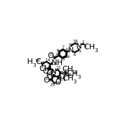 CCN1CCN(c2ccc(C(=O)NC(CC(C)C)C(=O)N3C[C@@H](C(C)(C)C)[C@H]4OCC(=O)[C@H]43)cc2)CC1